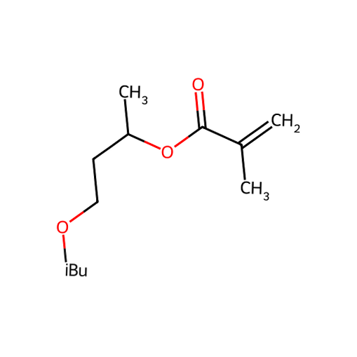 C=C(C)C(=O)OC(C)CCOC(C)CC